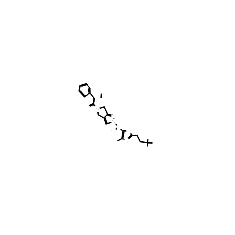 Cc1nc(CCC(F)(F)F)sc1S(=O)(=O)n1cc2c(n1)CN(C(=O)[C@H](CO)c1ccccc1)C2